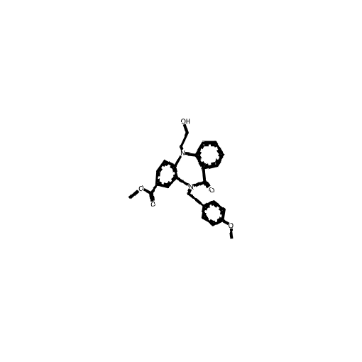 COC(=O)c1ccc2c(c1)N(Cc1ccc(OC)cc1)C(=O)c1ccccc1N2CCO